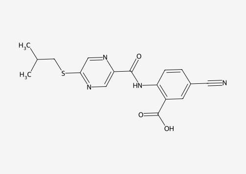 CC(C)CSc1cnc(C(=O)Nc2ccc(C#N)cc2C(=O)O)cn1